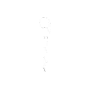 C=CCCCCCOCC1CCCCC1